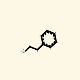 CC(C)(C)C[CH]c1ccccc1